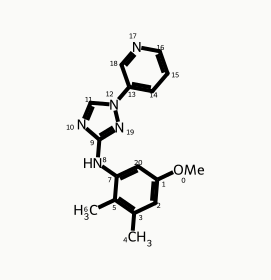 COc1cc(C)c(C)c(Nc2ncn(-c3cccnc3)n2)c1